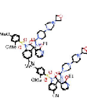 CCOc1ncccc1[C@]1(NC(=O)N2CCC(N3CCN(C4COC4)CC3)CC2)C(=O)N(S(=O)(=O)c2ccc(OC)cc2OC)c2ccc(C#N)cc21.CCOc1ncccc1[C@]1(NC(=O)N2CCN(C3CCN(C4COC4)CC3)CC2)C(=O)N(S(=O)(=O)c2ccc(OC)cc2OC)c2ccc(C#N)cc21